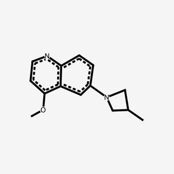 COc1ccnc2ccc(N3CC(C)C3)cc12